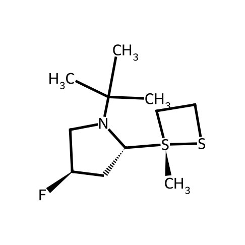 CC(C)(C)N1C[C@H](F)C[C@H]1[S@]1(C)CCS1